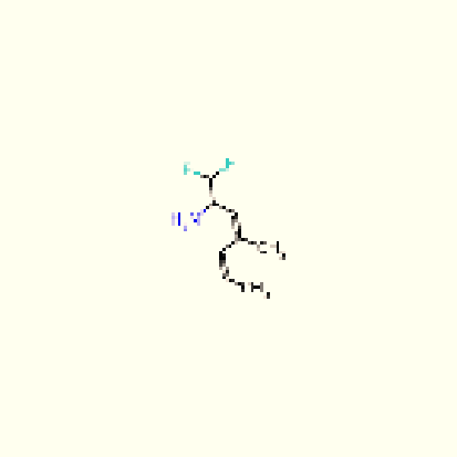 C/C=C\C(C)=C/C(N)C(F)F